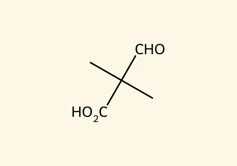 CC(C)(C=O)C(=O)O